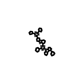 c1ccc(-c2nc(-c3ccccc3)nc(-c3ccc4sc5c(-c6nc(-c7ccccc7)nc(-n7c8ccccc8c8c(-c9ccccc9)cccc87)n6)cccc5c4c3)n2)cc1